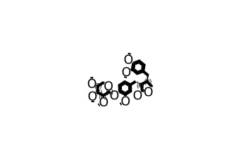 COc1ccc(C[C@H]2COC(=O)[C@@H]2Cc2ccc(O[C@@H]3OC[C@@H](OC)[C@H](OC)[C@H]3OC)c(OC)c2)cc1OC